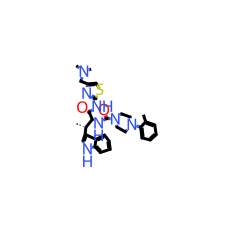 Cc1ccccc1N1CCN(C(=O)N[C@@H](C(=O)Nc2nc(CN(C)C)cs2)[C@@H](C)c2c[nH]c3ccccc23)CC1